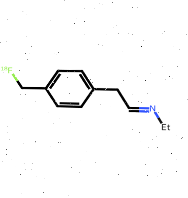 CCN=CCc1ccc(C[18F])cc1